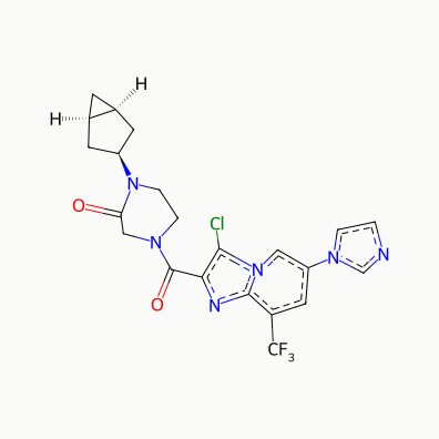 O=C(c1nc2c(C(F)(F)F)cc(-n3ccnc3)cn2c1Cl)N1CCN([C@H]2C[C@H]3C[C@H]3C2)C(=O)C1